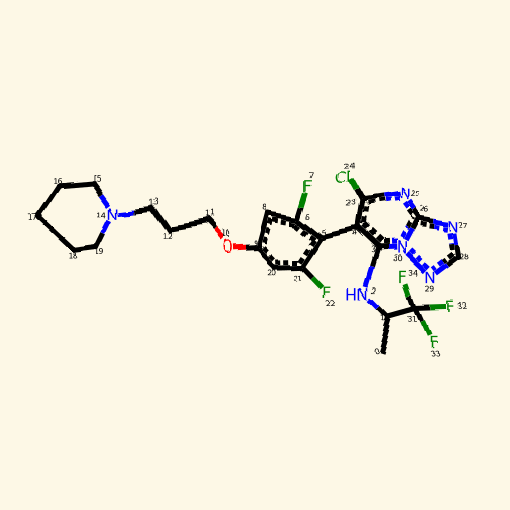 CC(Nc1c(-c2c(F)cc(OCCCN3CCCCC3)cc2F)c(Cl)nc2ncnn12)C(F)(F)F